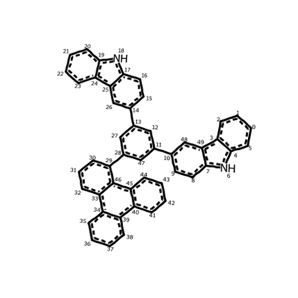 c1ccc2c(c1)[nH]c1ccc(-c3cc(-c4ccc5[nH]c6ccccc6c5c4)cc(-c4cccc5c6ccccc6c6ccccc6c45)c3)cc12